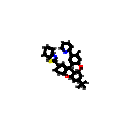 Cc1cc2c(cc1-c1ccccn1)B1c3cc(-c4nc5ccccc5s4)ccc3Oc3cc(C(C)(C)C)cc(c31)O2